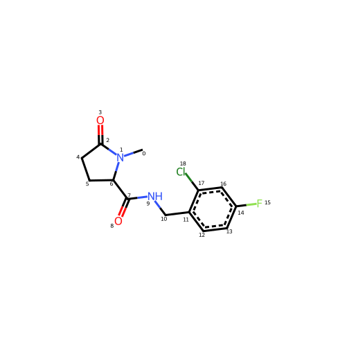 CN1C(=O)CCC1C(=O)NCc1ccc(F)cc1Cl